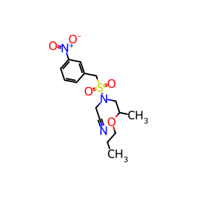 CCCOC(C)CN(CC#N)S(=O)(=O)Cc1cccc([N+](=O)[O-])c1